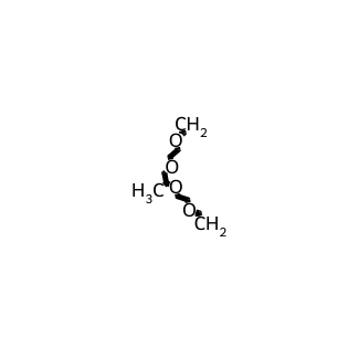 C=COCCOCC(C)OCCOC=C